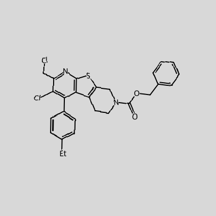 CCc1ccc(-c2c(Cl)c(CCl)nc3sc4c(c23)CCN(C(=O)OCc2ccccc2)C4)cc1